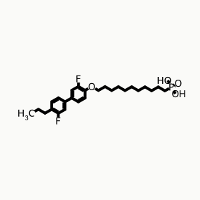 CCCc1ccc(-c2ccc(OCCCCCCCCCCCP(=O)(O)O)c(F)c2)cc1F